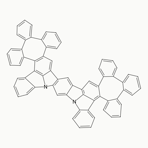 c1ccc2c(c1)-c1ccccc1-c1cc3c4cc5c6cc7c(c8c9ccccc9n(c5cc4n4c5ccccc5c(c1-c1ccccc1-2)c34)c68)-c1ccccc1-c1ccccc1-c1ccccc1-7